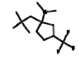 CN(C)C1(CC(C)(C)C)CCC(C(F)(F)F)C1